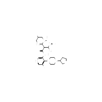 CN1CC(F)CNC1C(C(=O)Nc1cncc(F)c1N1CCN(C2CCOC2)CC1)C(N)N=O